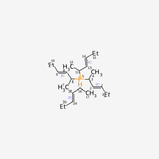 CC/C=C/C(C)[PH](C(C)/C=C/CC)(C(C)/C=C/CC)C(C)/C=C/CC